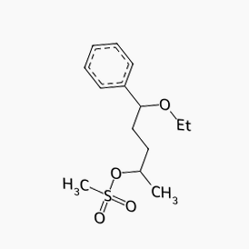 CCOC(CCC(C)OS(C)(=O)=O)c1ccccc1